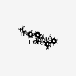 COc1ccccc1-c1cc(C(=O)Nc2nc3ccc(N4CCC(NCCN(C)C)CC4)cc3n2CC(C)(C)O)cc(C)n1